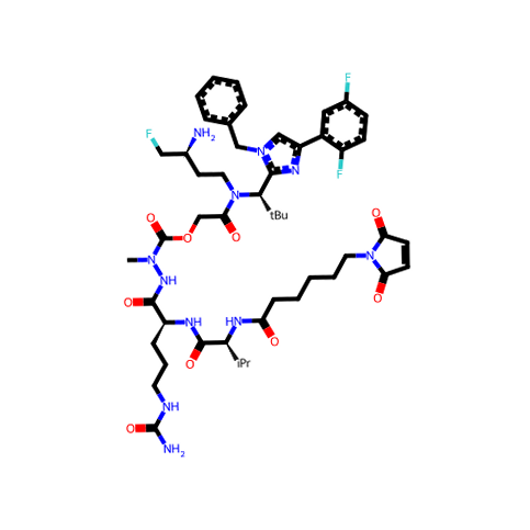 CC(C)[C@H](NC(=O)CCCCCN1C(=O)C=CC1=O)C(=O)N[C@@H](CCCNC(N)=O)C(=O)NN(C)C(=O)OCC(=O)N(CC[C@H](N)CF)[C@@H](c1nc(-c2cc(F)ccc2F)cn1Cc1ccccc1)C(C)(C)C